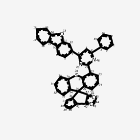 c1ccc(-c2cc(-c3ccc4c(c3)oc3ccccc34)nc(-c3cccc4c3Sc3ccccc3C43c4ccccc4-c4ccccc43)n2)cc1